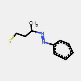 CC(CC[S])N=Nc1ccccc1